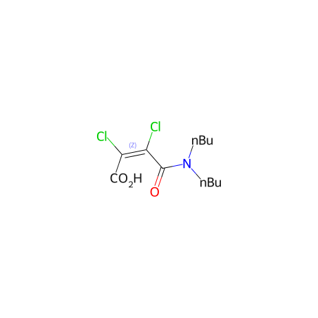 CCCCN(CCCC)C(=O)/C(Cl)=C(/Cl)C(=O)O